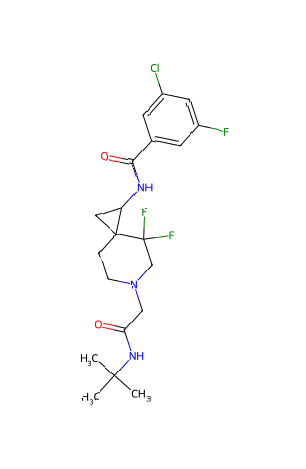 CC(C)(C)NC(=O)CN1CCC2(CC2NC(=O)c2cc(F)cc(Cl)c2)C(F)(F)C1